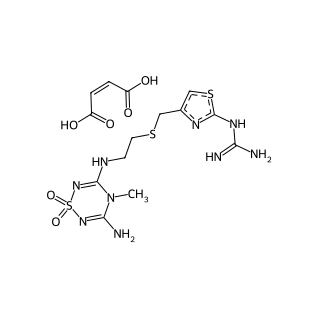 CN1C(N)=NS(=O)(=O)N=C1NCCSCc1csc(NC(=N)N)n1.O=C(O)/C=C\C(=O)O